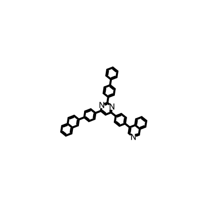 c1ccc(-c2ccc(-c3nc(-c4ccc(-c5ccc6ccccc6c5)cc4)cc(-c4ccc(-c5cncc6ccccc56)cc4)n3)cc2)cc1